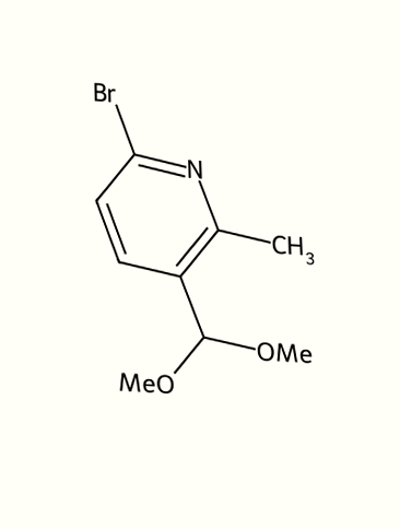 COC(OC)c1ccc(Br)nc1C